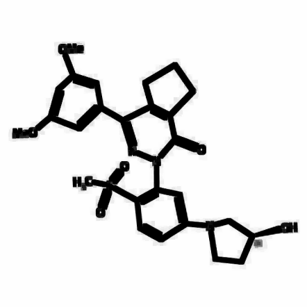 COc1cc(OC)cc(-c2nn(-c3cc(N4CC[C@H](O)C4)ccc3S(C)(=O)=O)c(=O)c3c2CCC3)c1